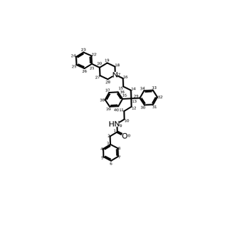 O=C(Cc1ccccc1)NCCCC(CCCN1CCC(c2ccccc2)CC1)(c1ccccc1)c1ccccc1